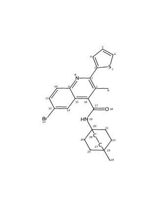 Cc1c(-c2cccs2)nc2ccc(Br)cc2c1C(=O)NC12CCC(C)(CC1)CC2